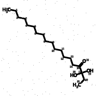 CCCCCCCCCCCCCCCC(=O)C(O)(O)CC